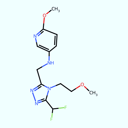 COCCn1c(CNc2ccc(OC)nc2)nnc1C(F)F